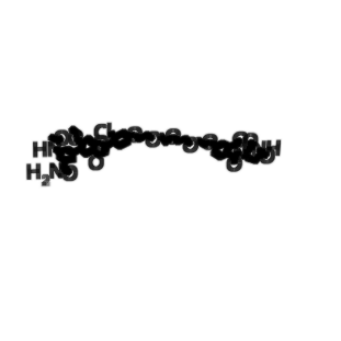 CCOc1cc2oc(-c3ccc(OCCOCCOCCOCCOc4ccc5c(c4)C(=O)N(C4CCC(=O)NC4=O)C5=O)cc3Cl)cc(=O)c2cc1-c1cc(NC(C)=O)cc(C(N)=O)c1